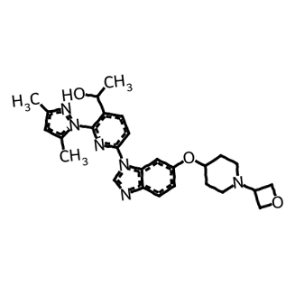 Cc1cc(C)n(-c2nc(-n3cnc4ccc(OC5CCN(C6COC6)CC5)cc43)ccc2C(C)O)n1